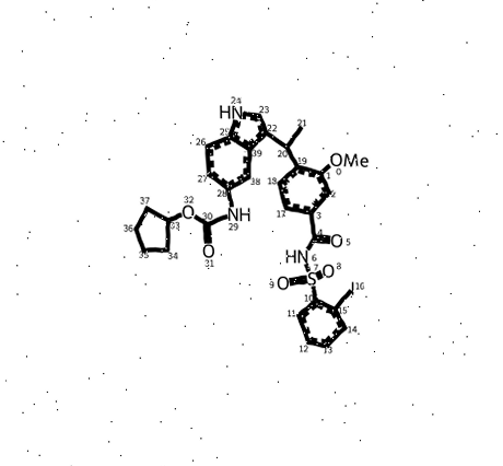 COc1cc(C(=O)NS(=O)(=O)c2ccccc2I)ccc1C(C)c1c[nH]c2ccc(NC(=O)OC3CCCC3)cc12